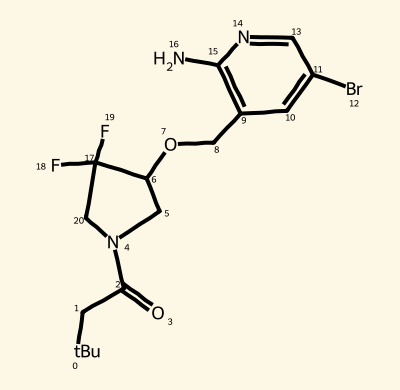 CC(C)(C)CC(=O)N1CC(OCc2cc(Br)cnc2N)C(F)(F)C1